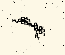 CC(C)(C)CSCCc1nc(C(C)(C)C)co1